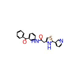 O=C(CC1=CSC(c2cccnc2)N1)Nc1cccc(C(=O)c2ccccc2)c1